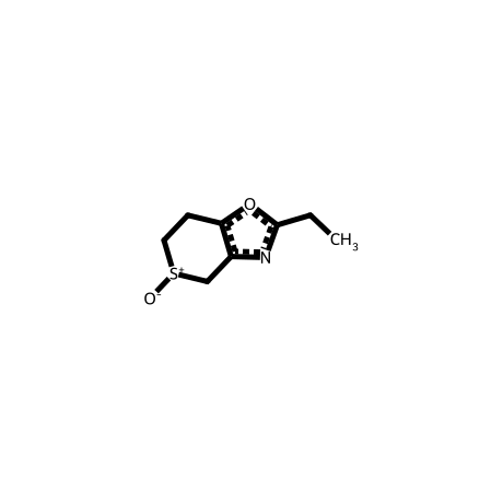 CCc1nc2c(o1)CC[S+]([O-])C2